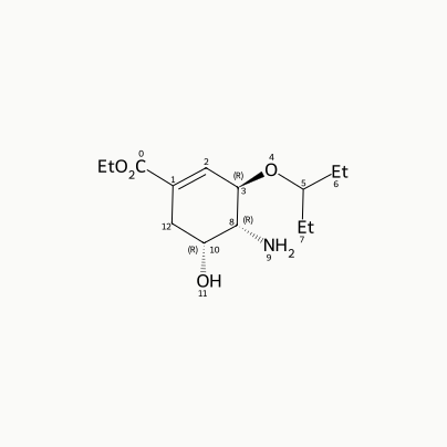 CCOC(=O)C1=C[C@@H](OC(CC)CC)[C@H](N)[C@H](O)C1